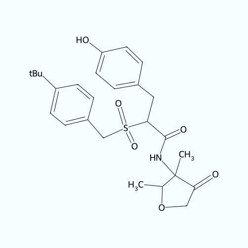 CC1OCC(=O)C1(C)NC(=O)C(Cc1ccc(O)cc1)S(=O)(=O)Cc1ccc(C(C)(C)C)cc1